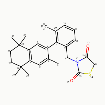 Cc1cc2c(cc1-c1c(CN3C(=O)CSC3=O)cccc1C(F)(F)F)C(C)(C)CCC2(C)C